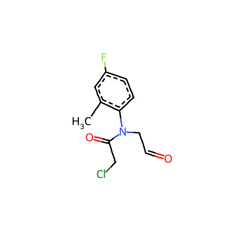 Cc1cc(F)ccc1N(CC=O)C(=O)CCl